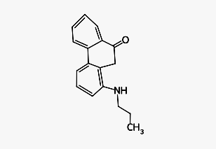 CCCNc1cccc2c1CC(=O)c1ccccc1-2